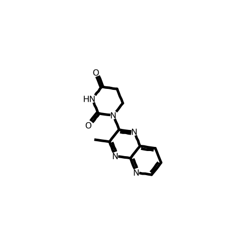 Cc1nc2ncccc2nc1N1CCC(=O)NC1=O